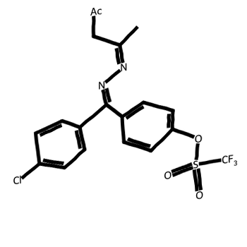 CC(=O)CC(C)=NN=C(c1ccc(Cl)cc1)c1ccc(OS(=O)(=O)C(F)(F)F)cc1